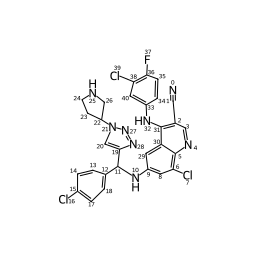 N#Cc1cnc2c(Cl)cc(NC(c3ccc(Cl)cc3)c3cn(C4CCNC4)nn3)cc2c1Nc1ccc(F)c(Cl)c1